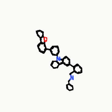 C1=CC(C/N=C/c2ccccc2-c2ccc3c(c2)c2c(n3-c3cccc(-c4cccc5c4oc4ccccc45)c3)C=CCC2)=CCC1